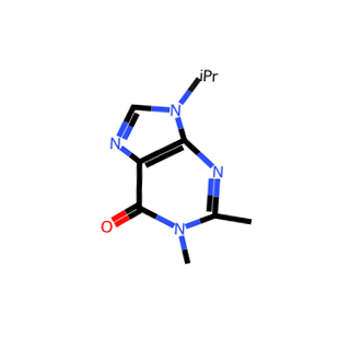 Cc1nc2c(ncn2C(C)C)c(=O)n1C